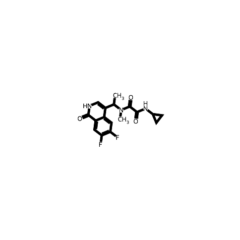 CC(c1c[nH]c(=O)c2cc(F)c(F)cc12)N(C)C(=O)C(=O)NC1CC1